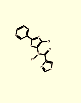 CCN(C(=O)c1cscn1)c1sc(-c2cccnc2)nc1Cl